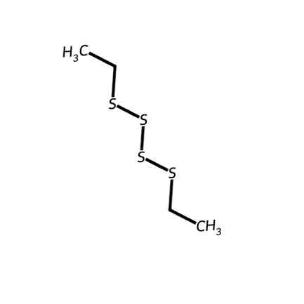 CCSSSSCC